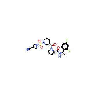 C[C@@H](NC(=O)[C@H]1CCCN1C(=O)[C@H]1CCCN(S(=O)(=O)N2CC(C#N)C2)C1)c1ccc(F)cc1F